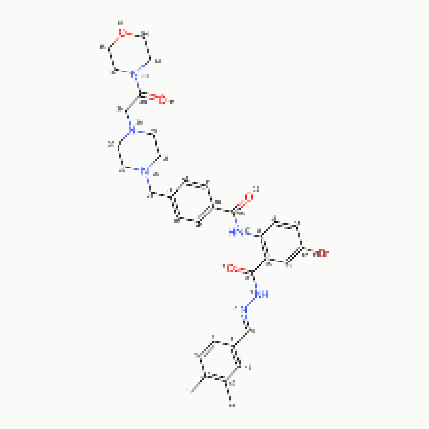 Cc1ccc(/C=N/NC(=O)c2cc(Br)ccc2NC(=O)c2ccc(CN3CCN(CC(=O)N4CCOCC4)CC3)cc2)cc1C